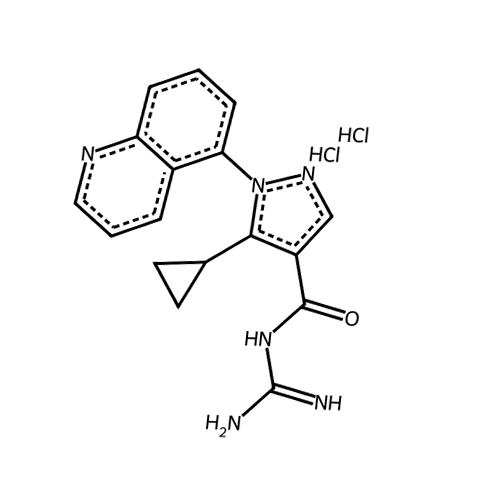 Cl.Cl.N=C(N)NC(=O)c1cnn(-c2cccc3ncccc23)c1C1CC1